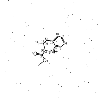 COC(=O)[C@@H]1Nc2ccccc2C[C@H]1C